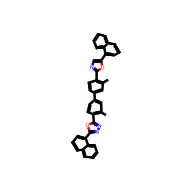 Cc1cc(-c2ccc(-c3nnc(-c4cccc5ccccc45)o3)c(C)c2)ccc1-c1ncc(-c2cccc3ccccc23)o1